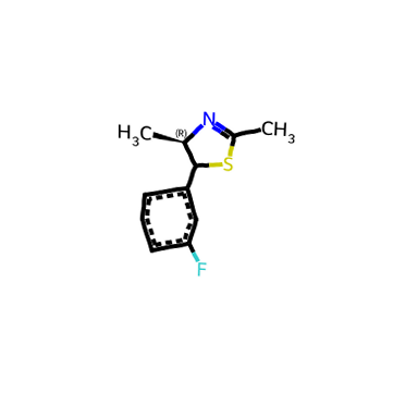 CC1=N[C@H](C)C(c2cccc(F)c2)S1